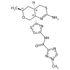 C[C@H]1C[C@H]2CSC(N)=N[C@@]2(c2nc(NC(=O)c3ncn(C)n3)cs2)CO1